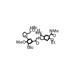 Br.CCOc1cc2c(cc1C(=O)NC)C(=N)N(CC(=O)c1cc(N3CCCC3CC(=O)O)c(OC)c(C(C)(C)C)c1)C2